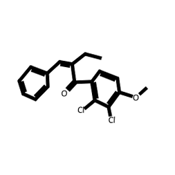 CCC(=Cc1ccccc1)C(=O)c1ccc(OC)c(Cl)c1Cl